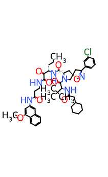 CCC[C@H](NC(=O)[C@@H]1C[C@]2(CC(c3cccc(Cl)c3)=NO2)CN1C(=O)[C@@H](NC(=O)CC1CCCCC1)C(C)(C)C)C(=O)C(=O)NCCC(=O)Nc1cc(OC)c2ccccc2c1